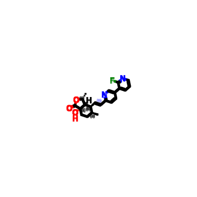 C[C@H]1CC[C@@]2(O)C(=O)O[C@H](C)[C@H]2[C@H]1/C=C/c1ccc(-c2cccnc2F)cn1